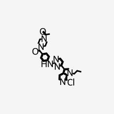 CCCn1cc(-c2ccnc(Nc3ccc(C(=O)N4CCN(C(C)=O)CC4)cc3)n2)c2ccnc(Cl)c21